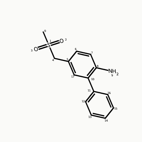 CS(=O)(=O)Cc1ccc(N)c(-c2ccccc2)c1